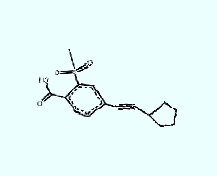 CS(=O)(=O)c1cc(C#CC2CCCC2)ccc1C(=O)O